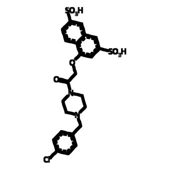 O=C(COc1cc(S(=O)(=O)O)cc2cc(S(=O)(=O)O)ccc12)N1CCN(Cc2ccc(Cl)cc2)CC1